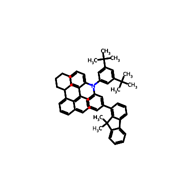 CC(C)(C)c1cc(N(c2cccc(-c3cccc4c3C(C)(C)c3ccccc3-4)c2)c2ccccc2-c2cccc3cccc(C4CCCCC4)c23)cc(C(C)(C)C)c1